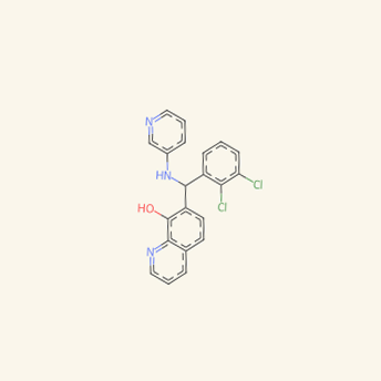 Oc1c(C(Nc2cccnc2)c2cccc(Cl)c2Cl)ccc2cccnc12